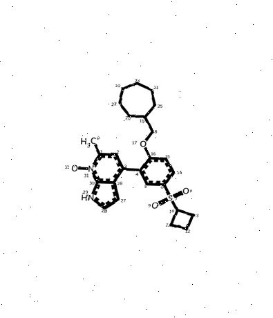 Cc1cc(-c2cc(S(=O)(=O)C3CCC3)ccc2OCC2CCCCCC2)c2cc[nH]c2[n+]1[O-]